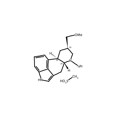 CCCN1C[C@H](COC)C[C@@H]2c3cccc4[nH]cc(c34)C[C@H]21.CS(=O)(=O)O